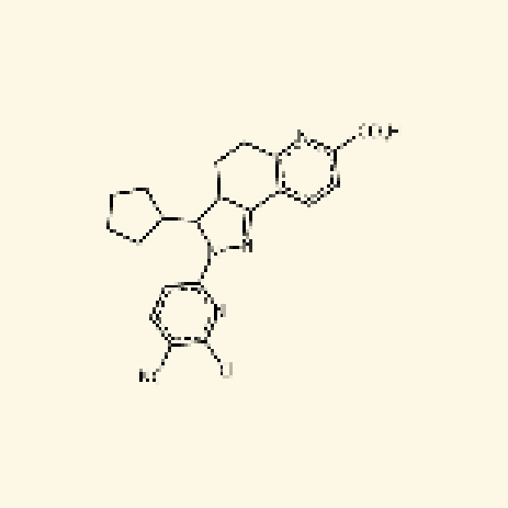 N#Cc1ccc(N2N=C3c4ccc(C(=O)O)nc4CCC3C2C2CCCC2)nc1Cl